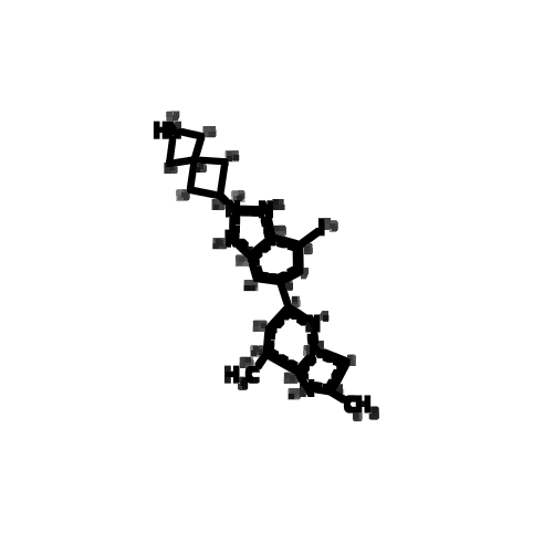 Cc1cn2nc(-c3cc(F)c4nn(C5CC6(CNC6)C5)nc4c3)cc(C)c2n1